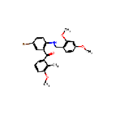 COc1ccc(CNc2ccc(Br)cc2C(=O)c2cccc(OC)c2C)c(OC)c1